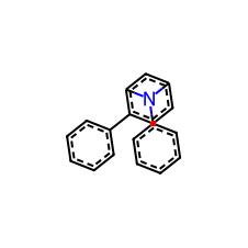 c1ccc(-c2ccc3cc2N3c2ccccc2)cc1